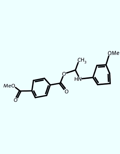 COC(=O)c1ccc(C(=O)OC(C)Nc2cccc(OC)c2)cc1